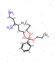 CCCO[Si](OCCC)(OCCCC(N)CCN)c1ccccc1